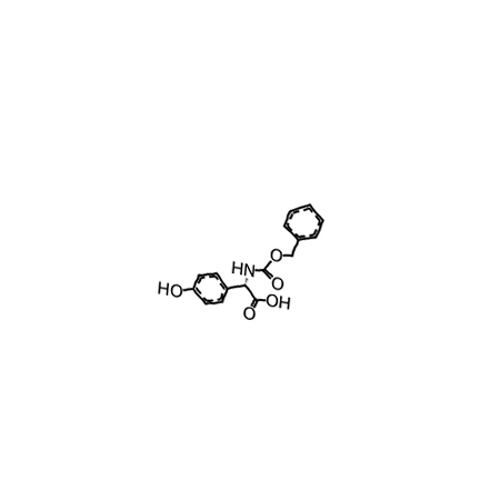 O=C(N[C@H](C(=O)O)c1ccc(O)cc1)OCc1ccccc1